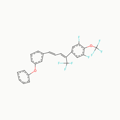 Fc1cc(C(=CC=Cc2cccc(Oc3ccccc3)c2)C(F)(F)F)cc(F)c1OC(F)(F)F